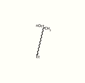 [CH2]CC=CCCCCCCCCCCCCCCCC(C)CCCCCCC[CH2]